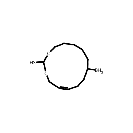 BC1CC/C=C\CCC(S)CCCCCC1